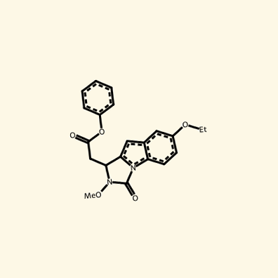 CCOc1ccc2c(c1)cc1n2C(=O)N(OC)C1CC(=O)Oc1ccccc1